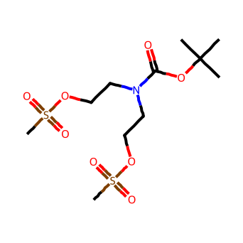 CC(C)(C)OC(=O)N(CCOS(C)(=O)=O)CCOS(C)(=O)=O